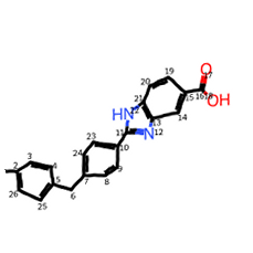 CCc1ccc(Cc2ccc(-c3nc4cc(C(=O)O)ccc4[nH]3)cc2)cc1